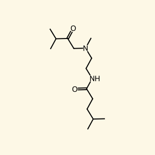 CC(C)CCC(=O)NCCN(C)CC(=O)C(C)C